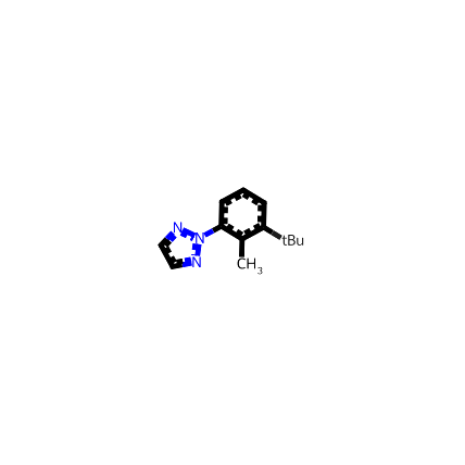 Cc1c(-n2nccn2)cccc1C(C)(C)C